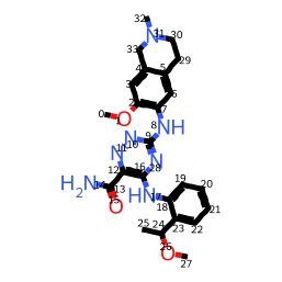 COc1cc2c(cc1Nc1nnc(C(N)=O)c(Nc3ccccc3C(C)OC)n1)CCN(C)C2